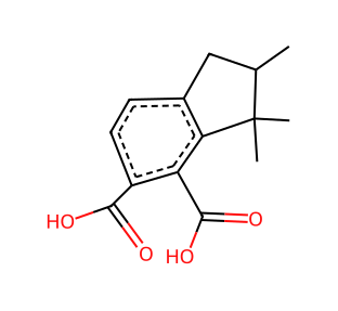 CC1Cc2ccc(C(=O)O)c(C(=O)O)c2C1(C)C